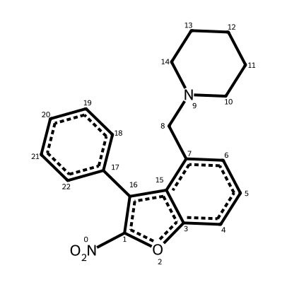 O=[N+]([O-])c1oc2cccc(CN3CCCCC3)c2c1-c1ccccc1